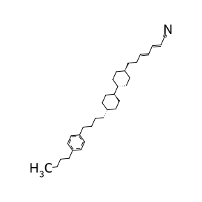 CCCCc1ccc(CCCC[C@H]2CC[C@H]([C@H]3CC[C@H](CCC=CC=CC#N)CC3)CC2)cc1